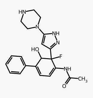 CC(=O)NC1=CC=C(c2ccccc2)C(O)C1(F)c1cc(N2CCNCC2)[nH]n1